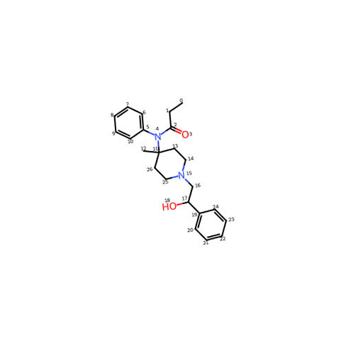 CCC(=O)N(c1ccccc1)C1(C)CCN(CC(O)c2ccccc2)CC1